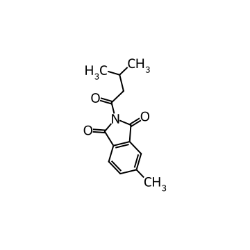 Cc1ccc2c(c1)C(=O)N(C(=O)CC(C)C)C2=O